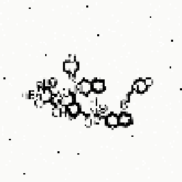 CCCCN(CCCC)C(=O)c1nn(-c2ccc(C(=O)NS(=O)(=O)c3ccc4cccc(OCCN5CCOCC5)c4c3)cc2C(=O)N2Cc3ccccc3C[C@H]2CN2CCOCC2)c(C)c1Cl